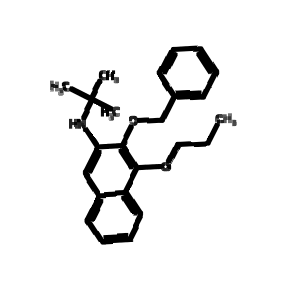 CCCOc1c(OCc2ccccc2)c(NC(C)(C)C)cc2ccccc12